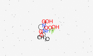 CCOC(=O)C(CCc1ccccc1)NC1CCCCCCN(CC(=O)O)C1=O.O=C(O)C(F)(F)F